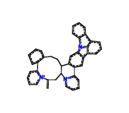 C=C1CC2C(CCc3ccccc3-c3cccc[n+]31)c1cc3c(cc1-c1cccc[n+]12)c1cccc2c4ccccc4n3c21